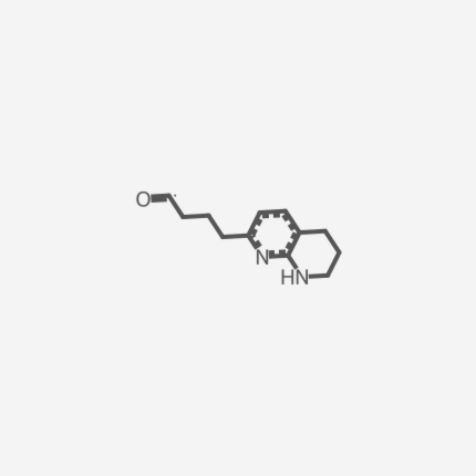 O=[C]CCCc1ccc2c(n1)NCCC2